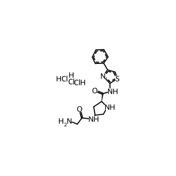 Cl.Cl.Cl.NCC(=O)N[C@H]1CN[C@H](C(=O)Nc2nc(-c3ccccc3)cs2)C1